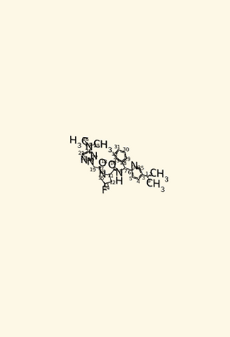 CC(C)c1ccc(C(NC(=O)C2CC(F)CN2C(=O)Cn2ncc(N(C)C)n2)c2ccccc2)nc1